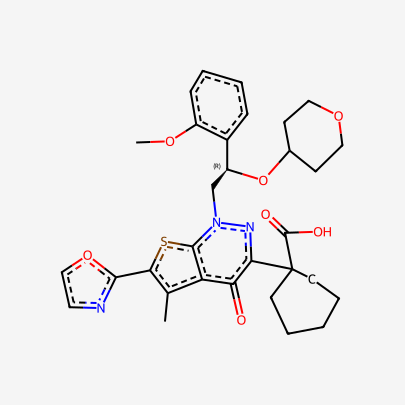 COc1ccccc1[C@H](Cn1nc(C2(C(=O)O)CCCCC2)c(=O)c2c(C)c(-c3ncco3)sc21)OC1CCOCC1